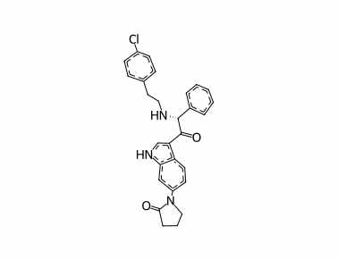 O=C(c1c[nH]c2cc(N3CCCC3=O)ccc12)[C@H](NCCc1ccc(Cl)cc1)c1ccccc1